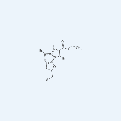 CCOC(=O)c1[nH]c2c(Br)cc3c(c2c1Br)OC(CBr)C3